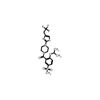 CC(C)Oc1ccc(S(C)(=O)=O)cc1C(=O)N1CCN(c2nc(CC(F)(F)F)cs2)CC1